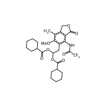 COc1c(C)c2c(c(NC(=O)C(F)(F)F)c1CC(OC(=O)C1CCCCC1)OC(=O)C1CCCCC1)C(=O)OC2